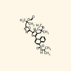 COC(C)(C)Cc1nc(-c2nnc(CC(C)(C)OC=O)o2)sc1-c1ccc(S(=O)(=O)NC(C)C)c2ccccc12